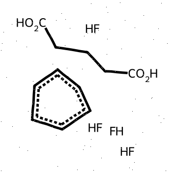 F.F.F.F.O=C(O)CCCC(=O)O.c1ccccc1